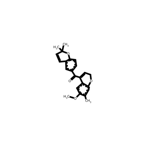 COc1cc2c(cc1C)OCC=C2C(=O)c1ccc2c(c1)C=CC(C)(C)O2